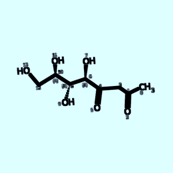 CC(=O)CC(=O)[C@H](O)[C@H](O)[C@H](O)CO